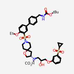 CCOc1ccc(-c2ccc(CNC(=O)OC(C)(C)C)cc2)cc1S(=O)(=O)N1CCC2(CC1)C[C@H](N(C[C@H](O)COc1cccc(S(=O)(=O)C3CC3)c1)C(=O)O)CO2